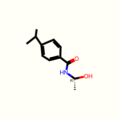 CC(C)c1ccc(C(=O)N[C@@H](C)O)cc1